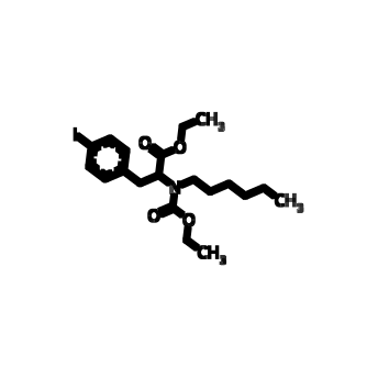 CCCCCCN(C(=O)OCC)C(Cc1ccc(I)cc1)C(=O)OCC